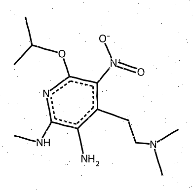 CNc1nc(OC(C)C)c([N+](=O)[O-])c(CCN(C)C)c1N